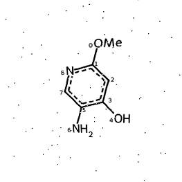 COc1cc(O)c(N)cn1